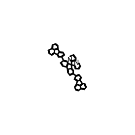 c1ccc(C2(c3ccccn3)c3cc(-c4ccc5c(c4)-c4cccc6cccc-5c46)ccc3-c3ccc(-c4ccc5c(c4)-c4cccc6cccc-5c46)cc32)nc1